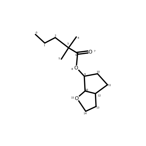 CCCC(C)(C)C(=O)OC1CCC2CCOC21